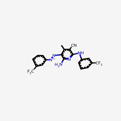 Cc1c(C#N)c(Nc2cccc(C(F)(F)F)c2)nc(N)c1/N=N/c1cccc(C(F)(F)F)c1